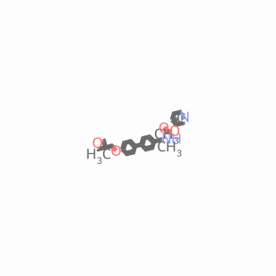 CC1(COc2ccc(-c3ccc(C(C)(C)NC(=O)OC4CN5CCC4CC5)cc3)cc2)COC1